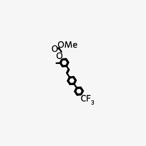 COC(=O)COc1ccc(/C=C/c2ccc(-c3ccc(C(F)(F)F)cc3)cc2)cc1C